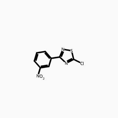 O=[N+]([O-])c1cccc(-c2nsc(Cl)n2)c1